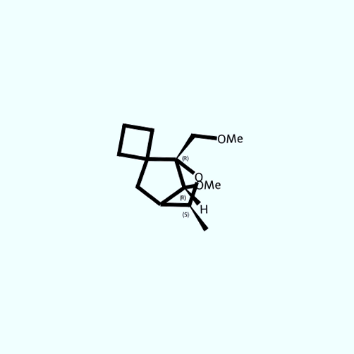 COC[C@]12O[C@@H](C)C(CC13CCC3)[C@H]2OC